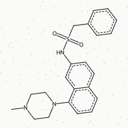 CN1CCN(c2cccc3ccc(NS(=O)(=O)Cc4ccccc4)cc23)CC1